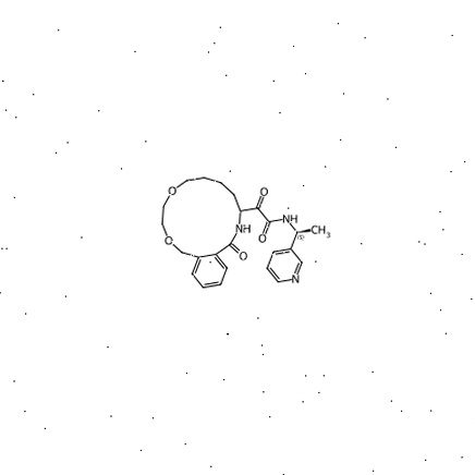 C[C@H](NC(=O)C(=O)C1CCCCOCCOCc2ccccc2C(=O)N1)c1cccnc1